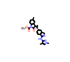 Cc1ccc2c(c1)[C@]1(C[C@H]1c1ccc3c(c1)CN=C3Nc1nn(C)cc1C)C(=O)N2C(=O)OC(C)(C)C